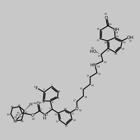 O=C(NC(c1cccc(F)c1)c1cccc(OCCCCCCNC[C@H](O)c2ccc(O)c3[nH]c(=O)ccc23)c1)O[C@H]1CN2CCC1CC2